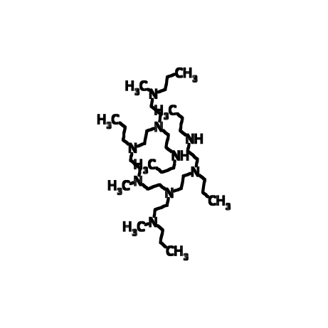 CCCNCCN(CCC)CCN(CCN(C)CCC)CCN(C)CCN(CCC)CCN(CCNCCC)CCN(C)CCC